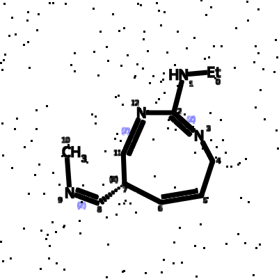 CCNC1=N/CC=C[C@H](/C=N\C)/C=N\1